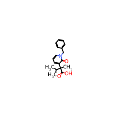 CC(C)C(C)(C(=O)O)c1cccn(Cc2ccccc2)c1=O